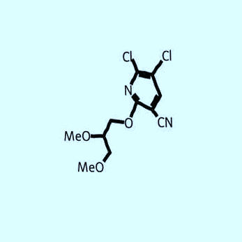 COCC(COc1nc(Cl)c(Cl)cc1C#N)OC